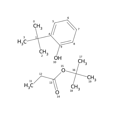 CC(C)(C)c1ccccc1O.CCC(=O)OC(C)(C)C